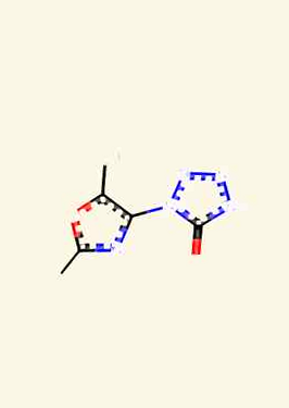 Cc1nc(-n2nn[nH]c2=O)c(C)o1